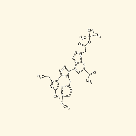 CCn1nc(C)cc1-c1nnc(-c2cc(C(N)=O)cc3c2cnn3CC(=O)OC(C)(C)C)n1Cc1ccc(OC)cc1